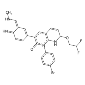 CN/C=C1/C=C(c2cc3c(n(-c4ccc(Br)cc4)c2=O)NC(OCC(F)F)C=C3)C=CC1=N